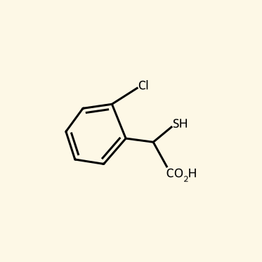 O=C(O)C(S)c1ccccc1Cl